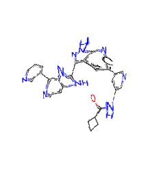 O=C(Nc1cncc(-c2cnc3[nH]nc(-c4nc5c(-c6cccnc6)nccc5[nH]4)c3c2)c1)C1CCC1